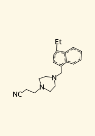 CCc1ccc(CN2CCN(CCC#N)CC2)c2ccccc12